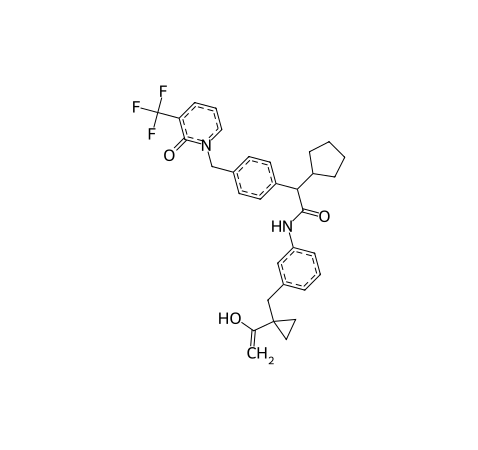 C=C(O)C1(Cc2cccc(NC(=O)C(c3ccc(Cn4cccc(C(F)(F)F)c4=O)cc3)C3CCCC3)c2)CC1